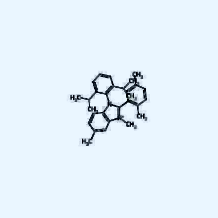 Cc1ccc(C)c(-c2n(-c3c(C(C)C)cccc3C(C)C)c3ccc(C)cc3[n+]2C)c1